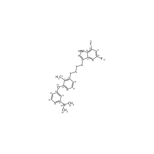 Cc1c(CCCCc2c[nH]c3c(F)cc(F)cc23)cccc1Oc1cccc(N(C)C)c1